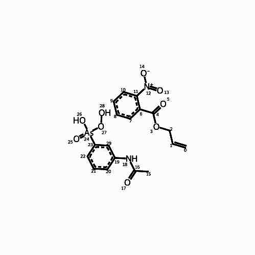 C=CCOC(=O)c1ccccc1[N+](=O)[O-].CC(=O)Nc1cccc([As](=O)(O)OO)c1